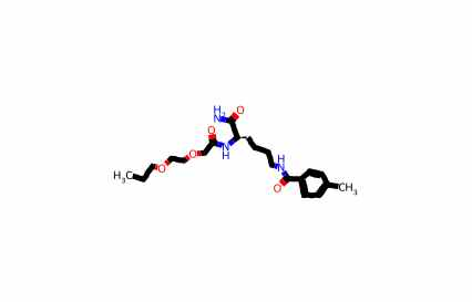 CCCOCCOCC(=O)N[C@@H](CCCCNC(=O)c1ccc(C)cc1)C(N)=O